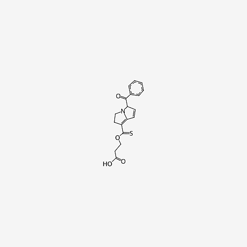 O=C(O)CCOC(=S)C1=C2C=CC(C(=O)c3ccccc3)N2CC1